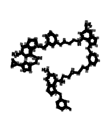 Cc1cccc(Cn2ccc3nc(N)nc(NCCOCCOc4ccnc(Cn5ccc6nc(N)nc(NCCOCc7ccnc(Cn8ccc9nc(N)nc(NCc%10cc(C%11CC%11)on%10)c98)c7)c65)c4)c32)n1